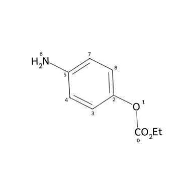 CCOC(=O)Oc1ccc(N)cc1